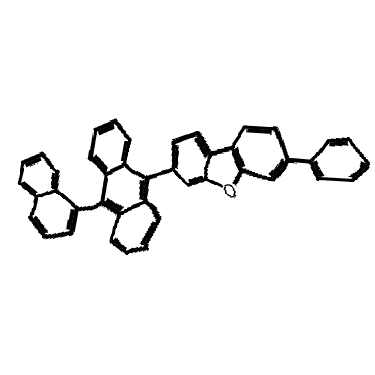 c1ccc(-c2ccc3c(c2)oc2cc(-c4c5ccccc5c(-c5cccc6ccccc56)c5ccccc45)ccc23)cc1